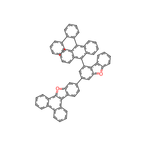 c1ccc(-c2ccccc2-c2c3ccccc3c(-c3cc(-c4ccc5c(c4)oc4c6ccccc6c6ccccc6c54)cc4oc5ccccc5c34)c3ccccc23)cc1